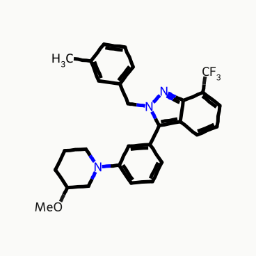 COC1CCCN(c2cccc(-c3c4cccc(C(F)(F)F)c4nn3Cc3cccc(C)c3)c2)C1